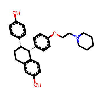 Oc1ccc([C@H]2CCc3cc(O)ccc3[C@H]2c2ccc(OCCN3CCCCC3)cc2)cc1